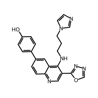 Oc1ccc(-c2ccc3ncc(-c4nnco4)c(NCCCn4ccnc4)c3c2)cc1